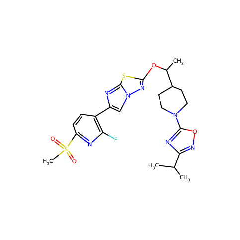 CC(C)c1noc(N2CCC(C(C)Oc3nn4cc(-c5ccc(S(C)(=O)=O)nc5F)nc4s3)CC2)n1